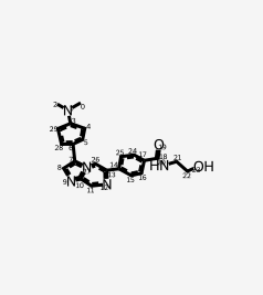 CN(C)c1ccc(-c2cnc3cnc(-c4ccc(C(=O)NCCO)cc4)cn23)cc1